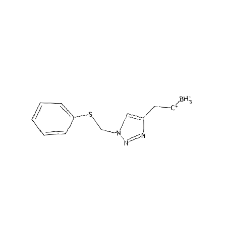 [BH3-][CH+]Cc1cn(CSc2ccccc2)nn1